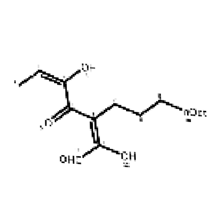 C/C=C(/O)C(=O)/C(CCCCCCCCCCC)=C(/O)C=O